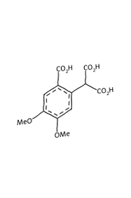 COc1cc(C(=O)O)c(C(C(=O)O)C(=O)O)cc1OC